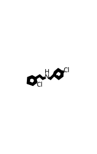 Clc1ccc(CNCCc2ccccc2Cl)cc1